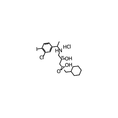 CC(NC[C@@H](O)CP(=O)(O)CC1CCCCC1)c1ccc(I)c(Cl)c1.Cl